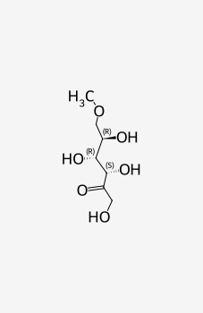 COC[C@@H](O)[C@@H](O)[C@H](O)C(=O)CO